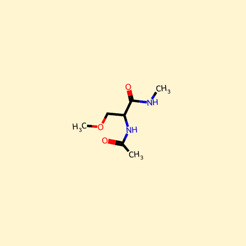 CNC(=O)C(COC)NC(C)=O